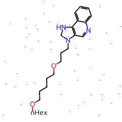 CCCCCCOCCCCCOCCCN1CNc2c1cnc1ccccc21